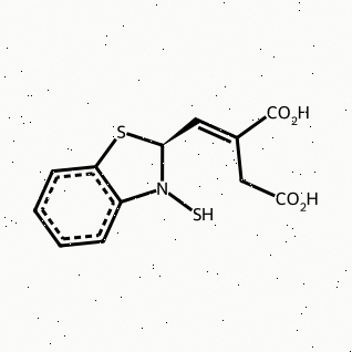 O=C(O)CC(=C[C@@H]1Sc2ccccc2N1S)C(=O)O